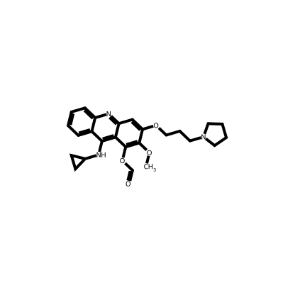 COc1c(OCCCN2CCCC2)cc2nc3ccccc3c(NC3CC3)c2c1OC=O